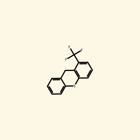 FC(F)(F)c1cccc2c1Cc1ccccc1S2